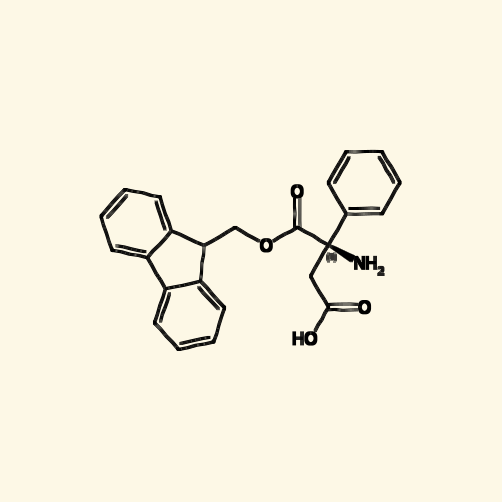 N[C@@](CC(=O)O)(C(=O)OCC1c2ccccc2-c2ccccc21)c1ccccc1